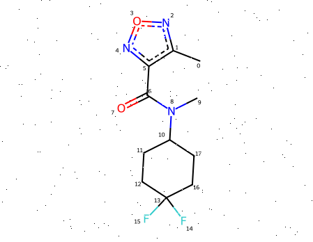 Cc1nonc1C(=O)N(C)C1CCC(F)(F)CC1